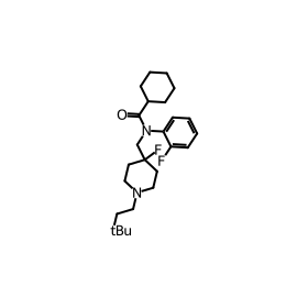 CC(C)(C)CCN1CCC(F)(CN(C(=O)C2CCCCC2)c2ccccc2F)CC1